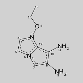 CCOn1ccn2cc(N)c(N)c12